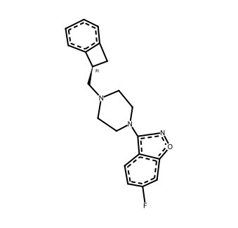 Fc1ccc2c(N3CCN(C[C@@H]4Cc5ccccc54)CC3)noc2c1